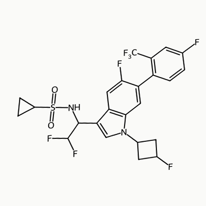 O=S(=O)(NC(c1cn(C2CC(F)C2)c2cc(-c3ccc(F)cc3C(F)(F)F)c(F)cc12)C(F)F)C1CC1